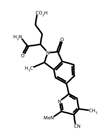 CNc1nc(-c2ccc3c(c2)C(C)N(C(CCC(=O)O)C(N)=O)C3=O)cc(C)c1C#N